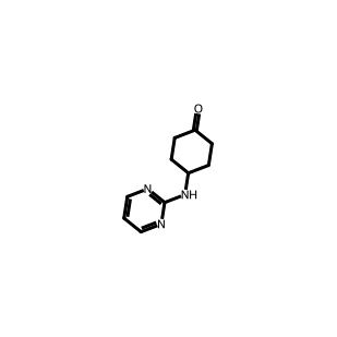 O=C1CCC(Nc2ncccn2)CC1